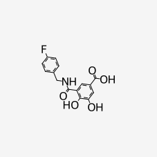 O=C(O)c1cc(O)c(O)c(C(=O)NCc2ccc(F)cc2)c1